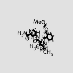 COCCOCC1CCCCC1Cn1nc(C(C)(F)F)c(C)c1C(=O)Nc1ccnc(C(N)=O)c1